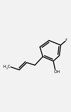 C/C=C/Cc1ccc(F)cc1O